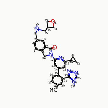 CN(Cc1ccc2c(c1)C(=O)N(c1cc(-c3ccc(C#N)cc3-c3nncn3C)cc(C3CC3)n1)C2)CC1COC1